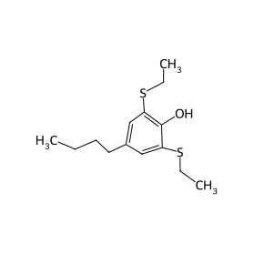 CCCCc1cc(SCC)c(O)c(SCC)c1